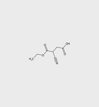 CCOC(=O)C(C#N)CC(=O)O